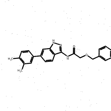 Cc1ccc(-c2ccc3c(NC(=O)COCc4ccccc4)n[nH]c3c2)cc1C